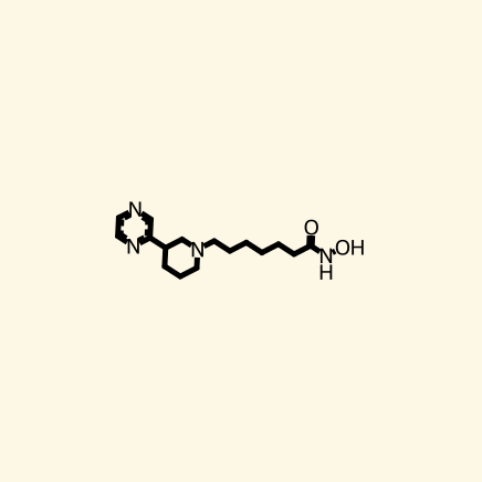 O=C(CCCCCCN1CCCC(c2cnccn2)C1)NO